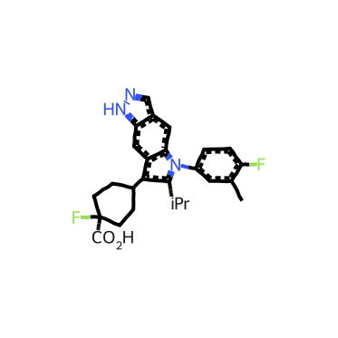 Cc1cc(-n2c(C(C)C)c(C3CCC(F)(C(=O)O)CC3)c3cc4[nH]ncc4cc32)ccc1F